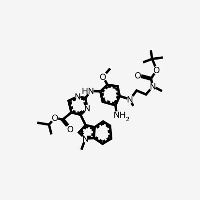 COc1cc(N(C)CCN(C)C(=O)OC(C)(C)C)c(N)cc1Nc1ncc(C(=O)OC(C)C)c(-c2cn(C)c3ccccc23)n1